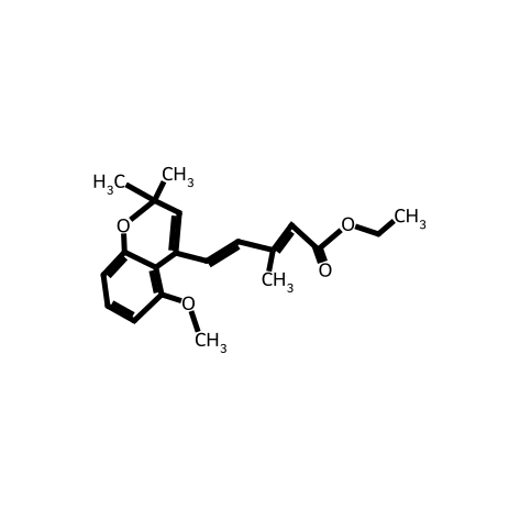 CCOC(=O)/C=C(C)/C=C/C1=CC(C)(C)Oc2cccc(OC)c21